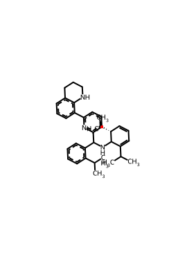 CC(C)C1=CC=C[C@@H](C(C)C)C1NC(c1cccc(-c2cccc3c2NCCC3)n1)c1ccccc1C(C)C